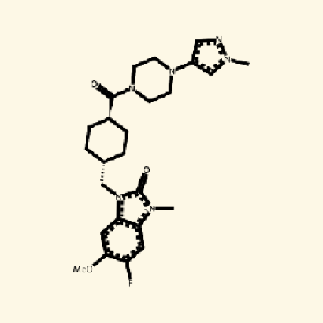 COc1cc2c(cc1F)n(C)c(=O)n2C[C@H]1CC[C@H](C(=O)N2CCN(c3cnn(C)c3)CC2)CC1